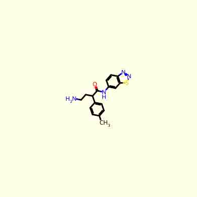 Cc1ccc(C(CCN)C(=O)Nc2ccc3nnsc3c2)cc1